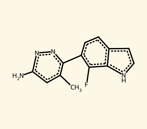 Cc1cc(N)nnc1-c1ccc2cc[nH]c2c1F